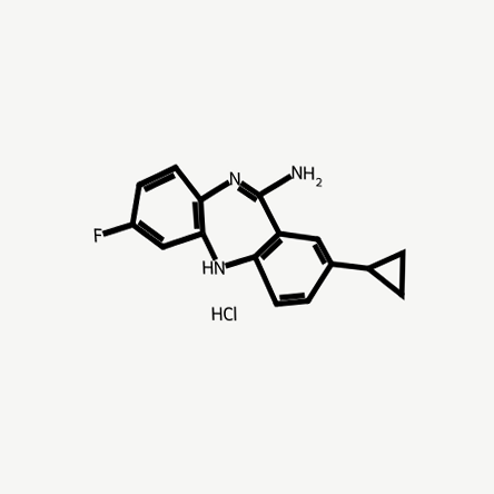 Cl.NC1=Nc2ccc(F)cc2Nc2ccc(C3CC3)cc21